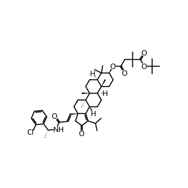 CC(C)C1=C2[C@H]3CC[C@@H]4[C@@]5(C)CC[C@H](OC(=O)CC(C)(C)C(=O)OC(C)(C)C)C(C)(C)[C@@H]5CC[C@@]4(C)[C@]3(C)CC[C@@]2(/C=C/C(=O)N[C@H](C)c2ccccc2Cl)CC1=O